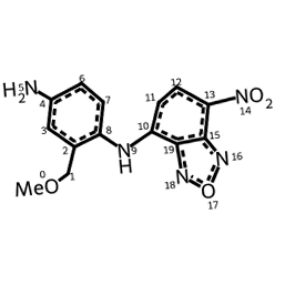 COCc1cc(N)ccc1Nc1ccc([N+](=O)[O-])c2nonc12